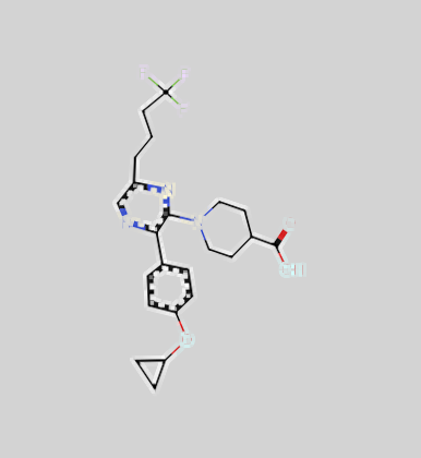 O=C(O)C1CCN(c2nc(CCCC(F)(F)F)cnc2-c2ccc(OC3CC3)cc2)CC1